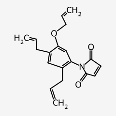 C=CCOc1cc(N2C(=O)C=CC2=O)c(CC=C)cc1CC=C